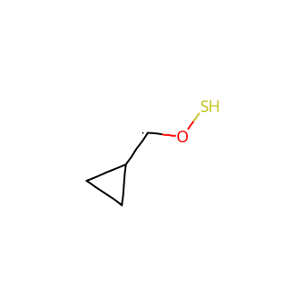 SO[CH]C1CC1